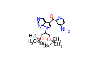 CC(C)(C)[Si](C)(C)OCC(CO[Si](C)(C)C(C)(C)C)n1cc(C(=O)c2cc(N)ccn2)c2cncnc21